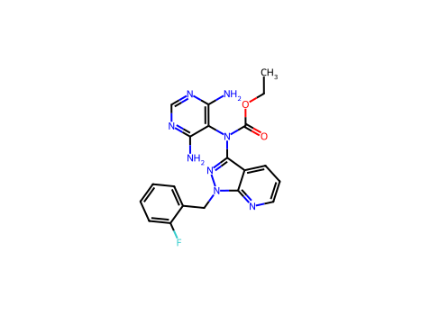 CCOC(=O)N(c1c(N)ncnc1N)c1nn(Cc2ccccc2F)c2ncccc12